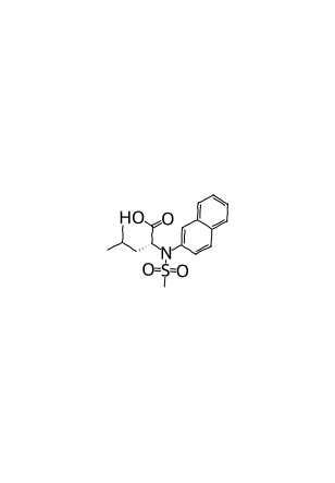 CC(C)C[C@H](C(=O)O)N(c1ccc2ccccc2c1)S(C)(=O)=O